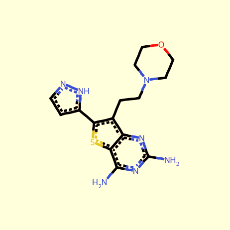 Nc1nc(N)c2sc(-c3ccn[nH]3)c(CCN3CCOCC3)c2n1